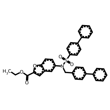 CCOC(=O)c1cc2cc(N(Cc3ccc(-c4ccccc4)cc3)S(=O)(=O)c3ccc(-c4ccccc4)cc3)ccc2o1